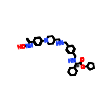 C=C(NO)c1ccc(N2CCC(CNCc3ccc(CN[C@H](C(=O)OC4CCCC4)C4CCCCC4)cc3)CC2)cc1